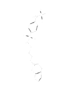 C[C@@H]1Cc2ccsc2[C@H](C)N1CCCCNS(=O)(=O)c1ccc(NS(C)(=O)=O)cc1